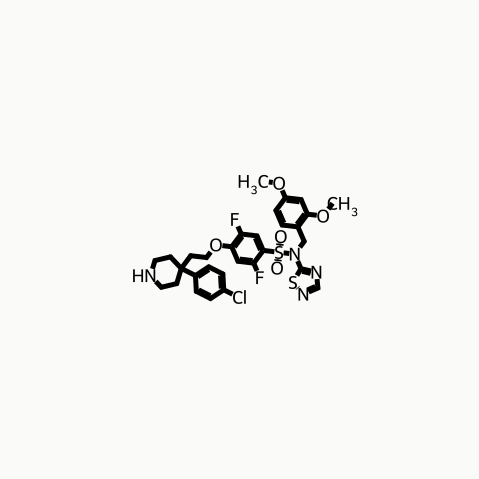 COc1ccc(CN(c2ncns2)S(=O)(=O)c2cc(F)c(OCCC3(c4ccc(Cl)cc4)CCNCC3)cc2F)c(OC)c1